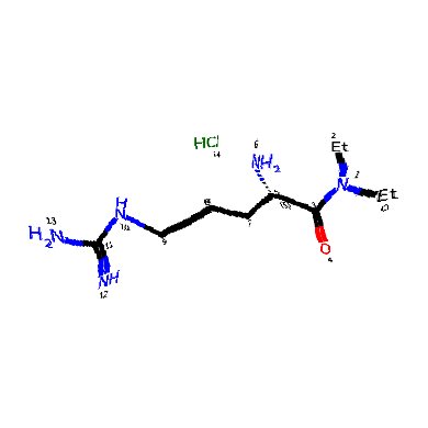 CCN(CC)C(=O)[C@@H](N)CCCNC(=N)N.Cl